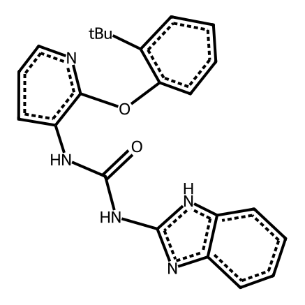 CC(C)(C)c1ccccc1Oc1ncccc1NC(=O)Nc1nc2ccccc2[nH]1